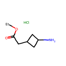 CCOC(=O)CC1CC(N)C1.Cl